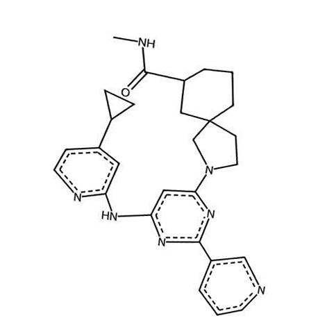 CNC(=O)C1CCCC2(CCN(c3cc(Nc4cc(C5CC5)ccn4)nc(-c4cccnc4)n3)C2)C1